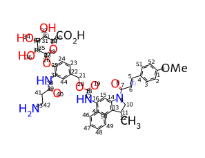 COc1ccc(/C=C/C(=O)N2CC(C)c3c2cc(NC(=O)OCc2ccc(O[C@@H]4O[C@H](C(=O)O)[C@@H](O)[C@H](O)[C@H]4O)c(NC(=O)CCN)c2)c2ccccc32)cc1